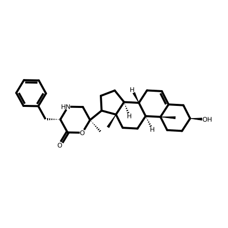 C[C@]12CC[C@H](O)CC1=CC[C@@H]1[C@@H]2CC[C@]2(C)C([C@]3(C)CN[C@@H](Cc4ccccc4)C(=O)O3)CC[C@@H]12